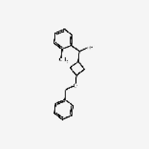 [CH2]c1ccccc1[C](CCC)C1CC(OCc2ccccc2)C1